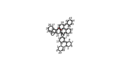 c1ccc(-c2ccccc2-c2cccc(N(c3ccc4c(c3)oc3ccccc34)c3ccccc3-c3ccccc3-c3ccccc3)c2)cc1